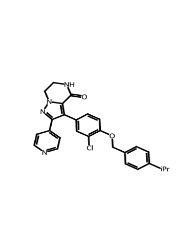 CC(C)c1ccc(COc2ccc(-c3c(-c4ccncc4)nn4c3C(=O)NCC4)cc2Cl)cc1